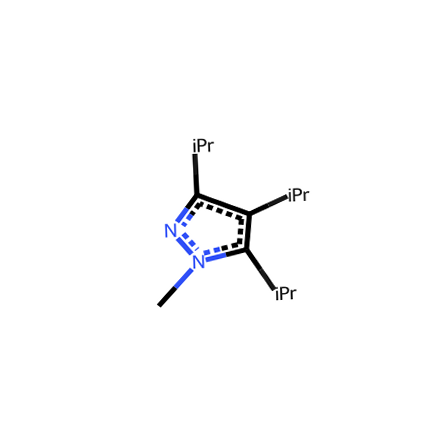 CC(C)c1nn(C)c(C(C)C)c1C(C)C